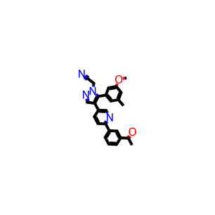 COc1cc(C)cc(-c2c(-c3ccc(-c4cccc(C(C)=O)c4)nc3)cnn2CC#N)c1